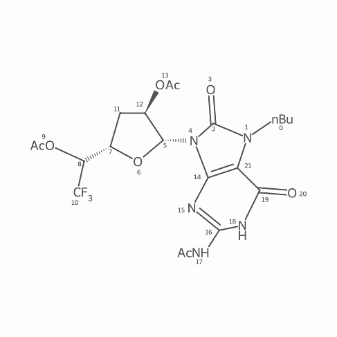 CCCCn1c(=O)n([C@@H]2O[C@H](C(OC(C)=O)C(F)(F)F)C[C@H]2OC(C)=O)c2nc(NC(C)=O)[nH]c(=O)c21